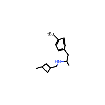 CC1CC(CNC(C)Cc2ccc(C(C)(C)C)cc2)C1